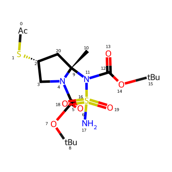 CC(=O)S[C@H]1CN(C(=O)OC(C)(C)C)[C@@](C)(N(C(=O)OC(C)(C)C)S(N)(=O)=O)C1